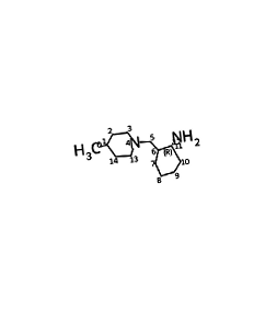 CC1CCN(CC2CCCC[C@H]2N)CC1